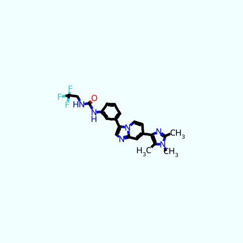 Cc1nc(-c2ccn3c(-c4cccc(NC(=O)NCC(F)(F)F)c4)cnc3c2)c(C)n1C